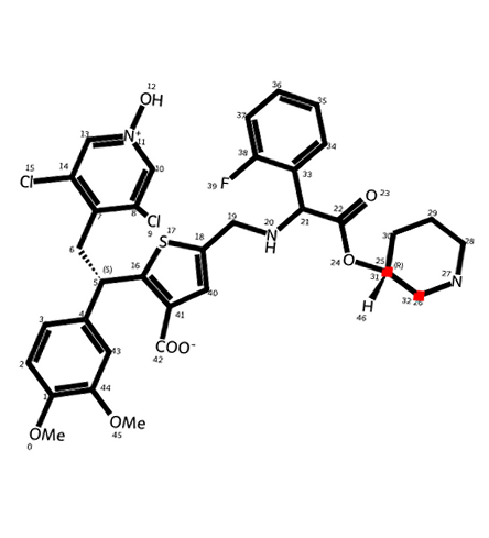 COc1ccc([C@H](Cc2c(Cl)c[n+](O)cc2Cl)c2sc(CNC(C(=O)O[C@H]3CN4CCC3CC4)c3ccccc3F)cc2C(=O)[O-])cc1OC